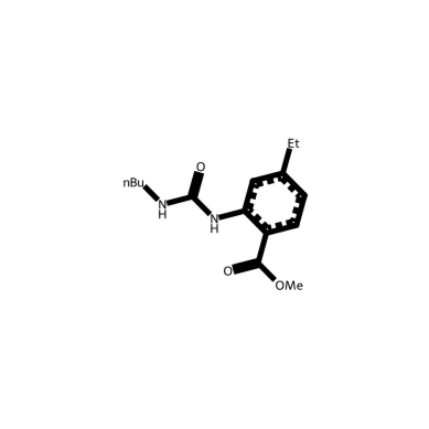 CCCCNC(=O)Nc1cc(CC)ccc1C(=O)OC